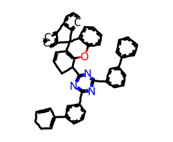 C1=CC(c2cccc(-c3nc(-c4cccc(-c5ccccc5)c4)nc(C4CC=CC5=C4Oc4ccccc4C54c5ccccc5-c5ccccc54)n3)c2)=CCC1